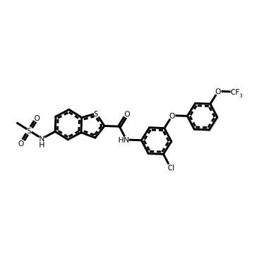 CS(=O)(=O)Nc1ccc2sc(C(=O)Nc3cc(Cl)cc(Oc4cccc(OC(F)(F)F)c4)c3)cc2c1